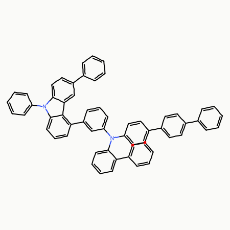 c1ccc(-c2ccc(-c3ccc(N(c4cccc(-c5cccc6c5c5cc(-c7ccccc7)ccc5n6-c5ccccc5)c4)c4ccccc4-c4ccccc4)cc3)cc2)cc1